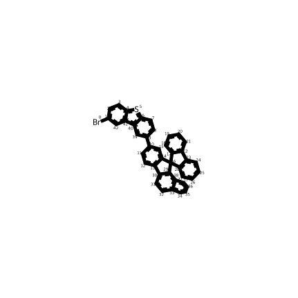 Brc1ccc2sc3ccc(-c4ccc5c(c4)C4(c6ccccc6-c6ccccc64)c4c-5ccc5ccccc45)cc3c2c1